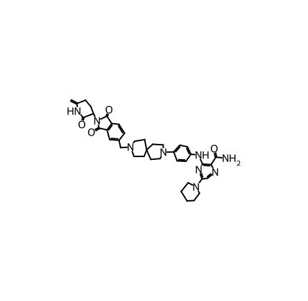 C=C1CCC(N2C(=O)c3ccc(CN4CCC5(CC4)CCN(c4ccc(Nc6nc(N7CCCCC7)cnc6C(N)=O)cc4)CC5)cc3C2=O)C(=O)N1